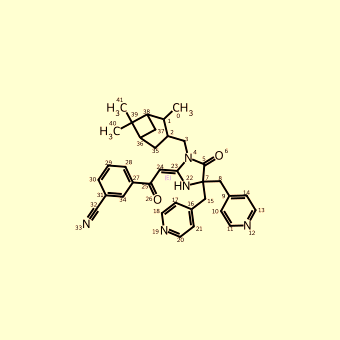 CC1C(CN2C(=O)C(Cc3ccncc3)(Cc3ccncc3)N/C2=C\C(=O)c2cccc(C#N)c2)CC2CC1C2(C)C